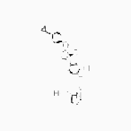 O=C1[C@@H](Oc2ccc(C3CC3)cc2)CCN1c1ccc(OCCN2CCC[C@H]2CO)c(Cl)c1